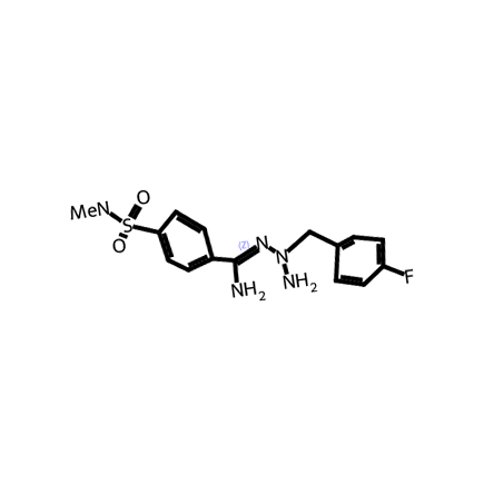 CNS(=O)(=O)c1ccc(/C(N)=N/N(N)Cc2ccc(F)cc2)cc1